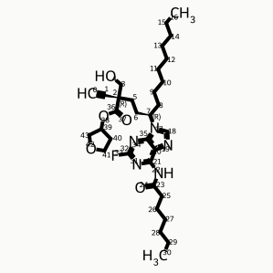 C#C[C@@](CO)(CC[C@@H](CCCCCCCCC)n1cnc2c(NC(=O)CCCCCC)nc(F)nc21)C(=O)OC1CCOC1